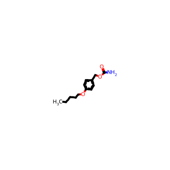 CCCCCOc1ccc(COC(N)=O)cc1